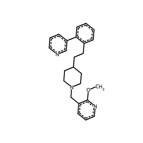 COc1ncccc1CN1CCC(CCc2ccccc2-c2cccnc2)CC1